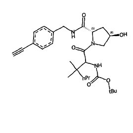 C#Cc1ccc(CNC(=O)[C@@H]2C[C@@H](O)CN2C(=O)C(NC(=O)OC(C)(C)C)C(C)(C)CCC)cc1